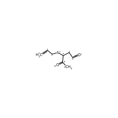 C=CCSC(CC=O)C(C)=O